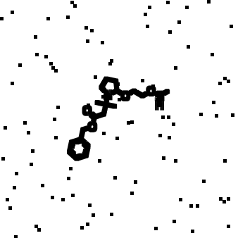 C[SiH](C)OCCOC1CCCN1C(C)(C)CC(=O)OCc1ccccc1